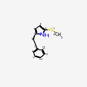 CSc1ccc(Cc2ccccc2)[nH]1